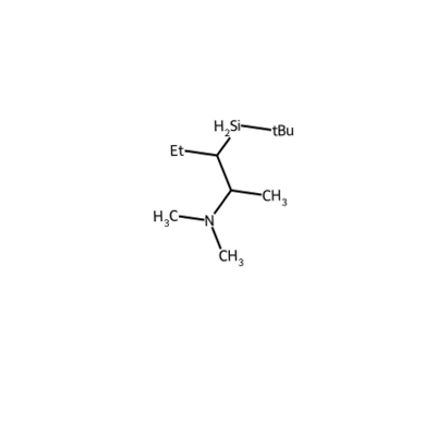 CCC([SiH2]C(C)(C)C)C(C)N(C)C